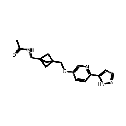 CC(=O)NCC12CC(COc3ccc(-c4ccn[nH]4)nc3)(C1)C2